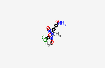 COCCN(CC(=O)N(C)C(CN1CCOCC1)c1ccc(-c2ccc(C(N)=O)cc2)cc1)c1ccc(Cl)c(Cl)c1